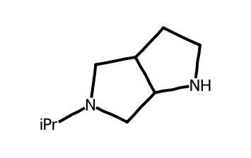 CC(C)N1CC2CCNC2C1